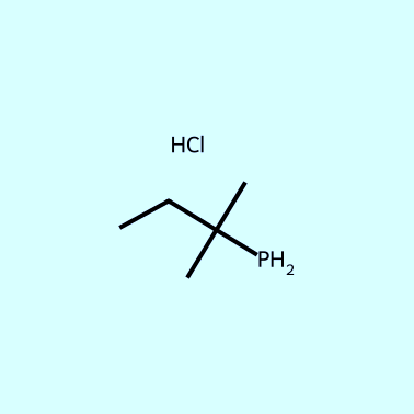 CCC(C)(C)P.Cl